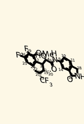 COc1c(C(C(O)C(=O)Nc2ccc3c(c2)C(=O)NC3)[C@H](C)[C@@H](C)C(F)(F)F)ccc(F)c1F